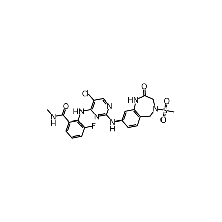 CNC(=O)c1cccc(F)c1Nc1nc(Nc2ccc3c(c2)NC(=O)CN(S(C)(=O)=O)C3)ncc1Cl